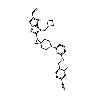 N#Cc1ccc(COc2cccc(N3CCC4(CC3)CC4c3nc4cc(C=O)[nH]c4n3CC3CCO3)n2)c(F)c1